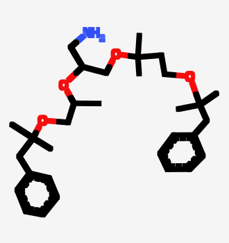 CC(COC(C)(C)Cc1ccccc1)OC(CN)COC(C)(C)CCOC(C)(C)Cc1ccccc1